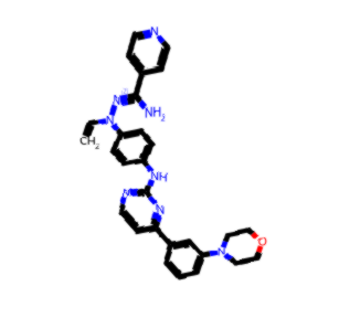 C=CN(/N=C(\N)c1ccncc1)c1ccc(Nc2nccc(-c3cccc(N4CCOCC4)c3)n2)cc1